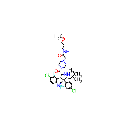 COCCCNC(=O)CN1CCN(C(=O)[C@@H]2N[C@@H](CC(C)(C)C)[C@](C#N)(c3ccc(Cl)cc3F)[C@H]2c2cccc(Cl)c2F)CC1